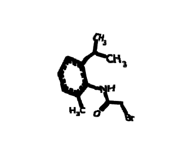 Cc1cccc(C(C)C)c1NC(=O)CBr